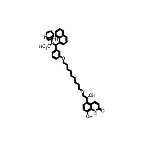 O=C(O)N(C(c1cccc(OCCCCCCCCCNC[C@H](O)c2ccc(O)c3[nH]c(=O)ccc23)c1)c1cccc2ccccc12)[C@H]1CN2CCC1CC2